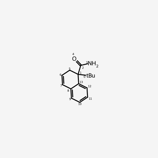 CC(C)(C)C1(C(N)=O)CC=Cc2ccccc21